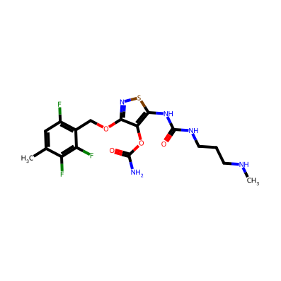 CNCCCNC(=O)Nc1snc(OCc2c(F)cc(C)c(F)c2F)c1OC(N)=O